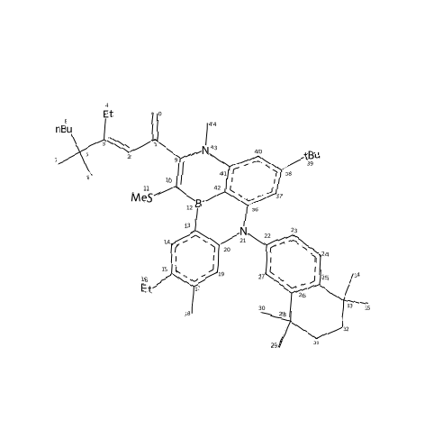 C=C(/C=C(\CC)C(C)(C)CCCC)C1=C(SC)B2c3cc(CC)c(C)cc3N(c3ccc4c(c3)C(C)(C)CCC4(C)C)c3cc(C(C)(C)C)cc(c32)N1C